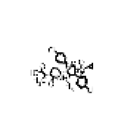 CC(C(C)[C@@H]1NC(=O)[C@@H](C(C)C(=O)O)C[C@@H]1c1cccc(Cl)c1)C(c1ccc(Cl)cc1)N(C)S(=O)(=O)C1CC1